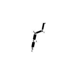 CSN=C=S